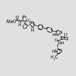 COC(=O)N[C@H](C(=O)N1CCC[C@H]1c1ncc(-c2ccc(-c3ccc(-c4cnc([C@H]5[C@H](C(=O)NCc6ncc(C)[nH]6)C6CC[C@@H]65)[nH]4)cc3)cc2)[nH]1)C(C)C